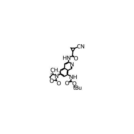 C[C@H]1COC(=O)N1c1cc(NC(=O)OC(C)(C)C)c2cnc(NC(=O)C3CC3C#N)cc2c1